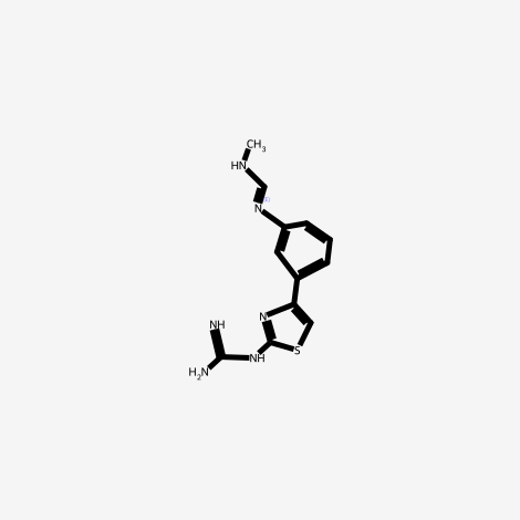 CN/C=N/c1cccc(-c2csc(NC(=N)N)n2)c1